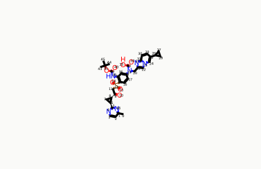 Cc1ccnc([C@H]2C[C@@H]2C(=O)CS(=O)(=O)c2ccc(N(Cc3cn4cc(C5CC5)ccc4n3)C(=O)O)cc2NC(=O)OC(C)(C)C)n1